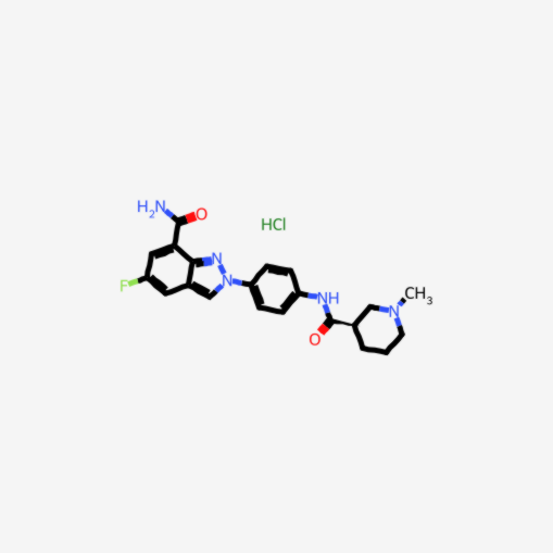 CN1CCC[C@@H](C(=O)Nc2ccc(-n3cc4cc(F)cc(C(N)=O)c4n3)cc2)C1.Cl